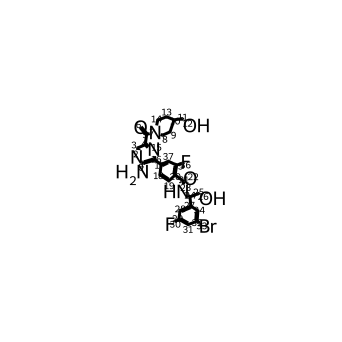 Nc1ncc(C(=O)N2CCC(CO)CC2)nc1-c1ccc(C(=O)NC(CO)c2cc(F)cc(Br)c2)c(F)c1